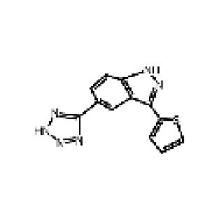 c1csc(-c2n[nH]c3ccc(-c4nn[nH]n4)cc23)c1